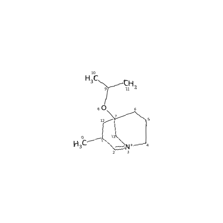 CC1C=[N+]2CCCC(OC(C)C)(C1)C2